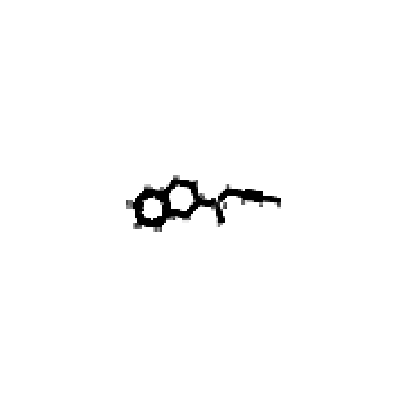 CC#CCN(C)C1CCc2ccccc2C1